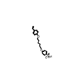 C=Cc1ccc(OCCCCCCOc2ccc(S(=O)(=O)O)cc2)cc1